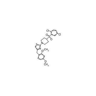 COc1ccc(Cc2csc(N3CCC(S(=O)(=O)c4cc(Cl)ccc4Cl)CC3)n2)c(OC)c1